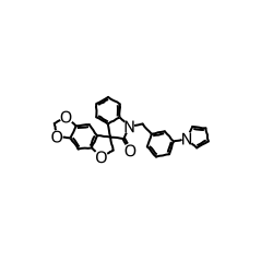 O=C1N(Cc2cccc(-n3cccc3)c2)c2ccccc2C12COc1cc3c(cc12)OCO3